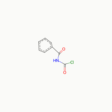 O=C(Cl)NC(=O)c1ccccc1